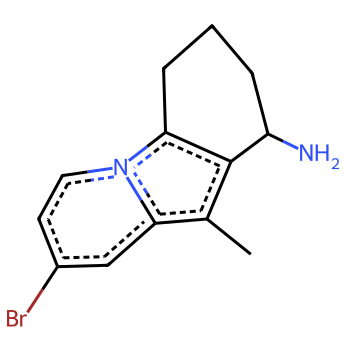 Cc1c2c(n3ccc(Br)cc13)CCCC2N